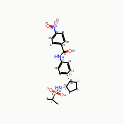 CC(C)S(=O)(=O)N[C@H]1CCC[C@H]1c1ccc(NC(=O)c2ccc([N+](=O)[O-])cc2)cc1